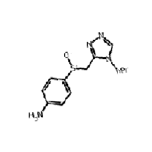 CCCn1cnnc1C[S+]([O-])c1ccc(N)cc1